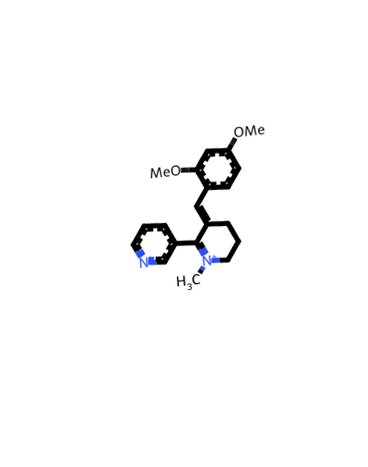 COc1ccc(/C=C2\CCC[N+](C)=C2c2cccnc2)c(OC)c1